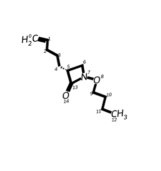 C=CCCC[C@@H]1CN(OCCCC)C1=O